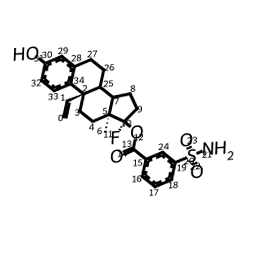 C=C[C@]12CC[C@@]3(C)C(CC[C@@]3(F)OC(=O)c3cccc(S(N)(=O)=O)c3)C1CCc1cc(O)ccc12